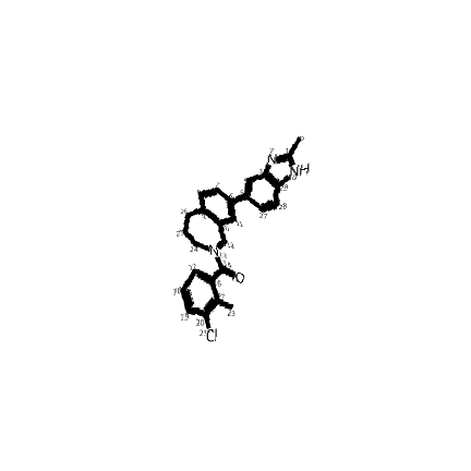 Cc1nc2cc(-c3ccc4c(c3)CN(C(=O)c3cccc(Cl)c3C)CCC4)ccc2[nH]1